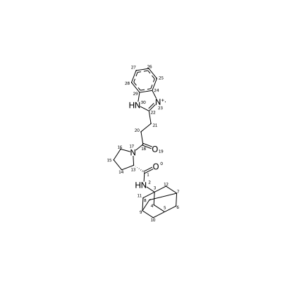 O=C(NC12CC3CC(CC(C3)C1)C2)[C@@H]1CCCN1C(=O)CCC1=[N+]c2ccccc2N1